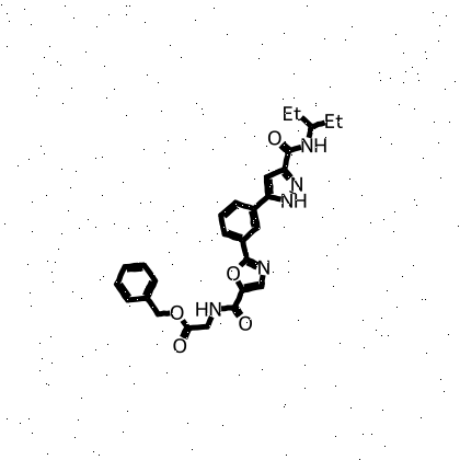 CCC(CC)NC(=O)c1cc(-c2cccc(-c3ncc(C(=O)NCC(=O)OCc4ccccc4)o3)c2)[nH]n1